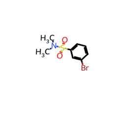 CN(C)S(=O)(=O)c1cccc(Br)c1